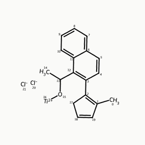 CC1=C(c2ccc3ccccc3c2C(C)[O][Ti+2])CC=C1.[Cl-].[Cl-]